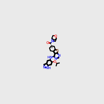 CC(C)Oc1cc2[nH]ncc2cc1Nc1ncnc2sc3c(c12)CC[C@H](C(=O)N1CC2CC1CO2)C3